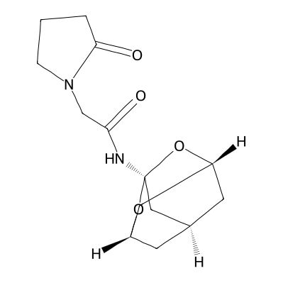 O=C(CN1CCCC1=O)N[C@]12C[C@H]3C[C@H](C[C@H](C3)O1)O2